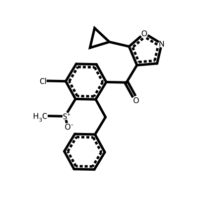 C[S+]([O-])c1c(Cl)ccc(C(=O)c2cnoc2C2CC2)c1Cc1ccccc1